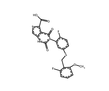 COc1cccc(F)c1CSc1ccc(F)c(-n2c(=O)[nH]c3csc(C(=O)O)c3c2=O)c1